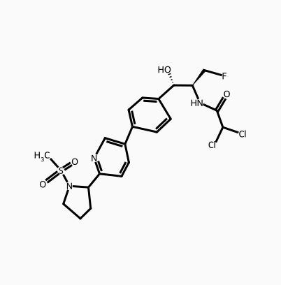 CS(=O)(=O)N1CCCC1c1ccc(-c2ccc([C@H](O)[C@@H](CF)NC(=O)C(Cl)Cl)cc2)cn1